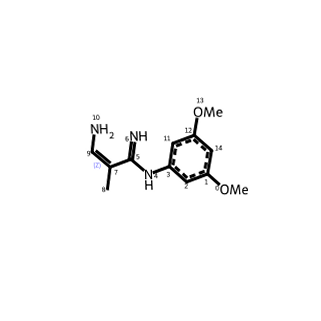 COc1cc(NC(=N)/C(C)=C\N)cc(OC)c1